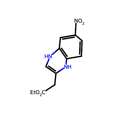 CCOC(=O)CC1=CNc2cc([N+](=O)[O-])ccc2N1